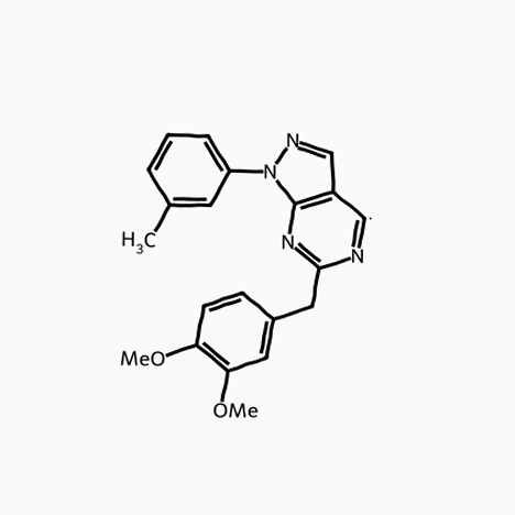 COc1ccc(Cc2n[c]c3cnn(-c4cccc(C)c4)c3n2)cc1OC